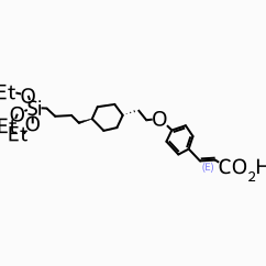 CCO[Si](CCCC[C@H]1CC[C@H](CCOc2ccc(/C=C/C(=O)O)cc2)CC1)(OCC)OCC